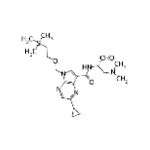 CN(C)C[C@@H](C=O)NC(=O)c1cn(COCC[Si](C)(C)C)c2ncc(C3CC3)nc12